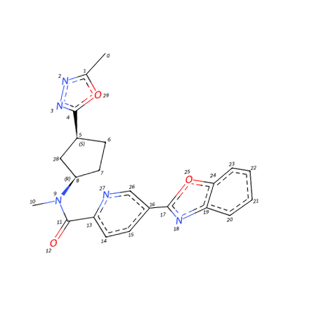 Cc1nnc([C@H]2CC[C@@H](N(C)C(=O)c3ccc(-c4nc5ccccc5o4)cn3)C2)o1